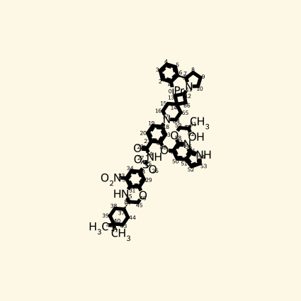 CC(C)c1ccccc1[C@H]1CCCN1C1CC2(CCN(c3ccc(C(=O)NS(=O)(=O)c4cc5c(c([N+](=O)[O-])c4)N[C@@H](C4CCC(C)(C)CC4)CO5)c(Oc4cc5cc[nH]c5nc4OC[C@@H](C)O)c3)CC2)C1